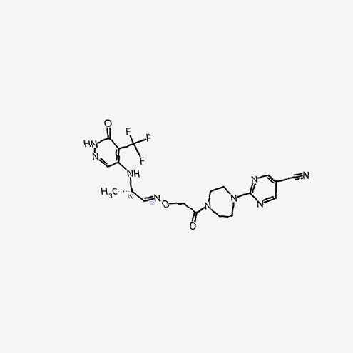 C[C@@H](/C=N/OCC(=O)N1CCN(c2ncc(C#N)cn2)CC1)Nc1cn[nH]c(=O)c1C(F)(F)F